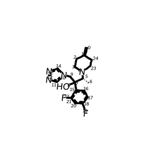 C=C1CCN([C@H](C)C(O)(Cn2cnnc2)c2ccc(F)cc2F)CC1